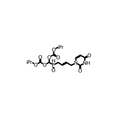 CC(C)OC(=O)OC(OC(=O)OC(C)C)[PH](=O)C/C=C/Cn1ccc(=O)[nH]c1=O